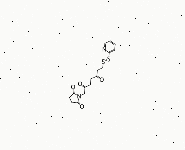 O=C(CCSSc1ccccn1)CCC(=O)CN1C(=O)CCC1=O